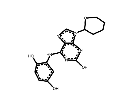 Oc1ccc(O)c(Nc2nc(O)nc3c2ncn3C2CCCCO2)c1